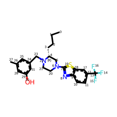 CCCC[C@@H]1CN(c2nc3ccc(C(F)(F)F)cc3s2)CCN1Cc1cc(C)cc(O)c1